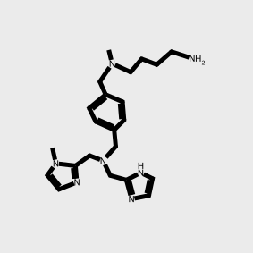 CN(CCCCN)Cc1ccc(CN(Cc2ncc[nH]2)Cc2nccn2C)cc1